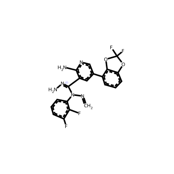 C=NN(/C(=N\N)c1cc(-c2cccc3c2OC(F)(F)O3)cnc1N)c1cccc(F)c1F